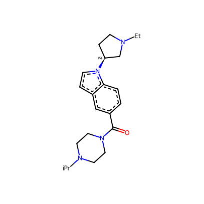 CCN1CC[C@H](n2ccc3cc(C(=O)N4CCN(C(C)C)CC4)ccc32)C1